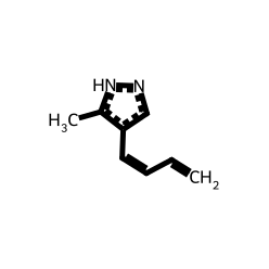 C=C/C=C\c1cn[nH]c1C